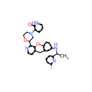 CC(Nc1ccc2c(c1)Cc1ccnc(C3CN(c4ccc[nH]c4=O)CCO3)c1O2)c1cccc(F)n1